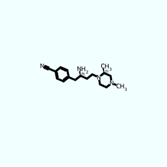 C[C@H]1CN(C)CCN1CC[C@H](N)Cc1ccc(C#N)cc1